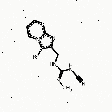 C/N=C(\NC#N)NCc1nc2ccccn2c1Br